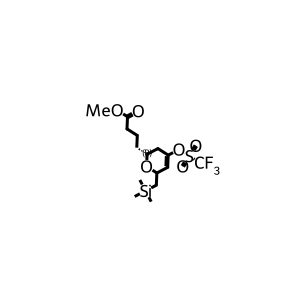 COC(=O)CCC[C@@H]1CC(OS(=O)(=O)C(F)(F)F)=CC(C[Si](C)(C)C)O1